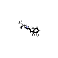 CC(C)(C)[S+]([O-])/N=C/CC[C@@]1(C(=O)O)CCCN1C(=O)O